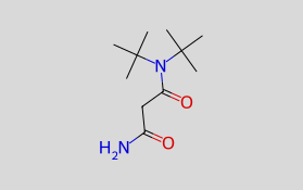 CC(C)(C)N(C(=O)CC(N)=O)C(C)(C)C